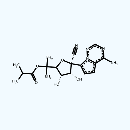 BC(B)(OC(=O)C(C)C)C1O[C@@](C#N)(c2ccc3c(N)ncnn23)[C@H](O)[C@@H]1O